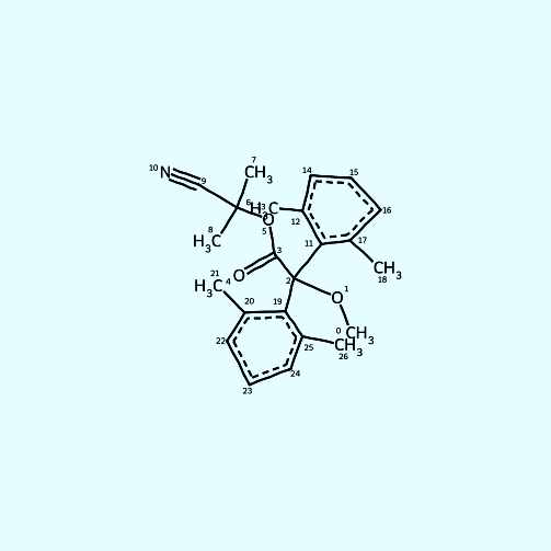 COC(C(=O)OC(C)(C)C#N)(c1c(C)cccc1C)c1c(C)cccc1C